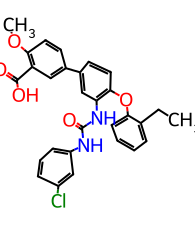 CCc1ccccc1Oc1ccc(-c2ccc(OC)c(C(=O)O)c2)cc1NC(=O)Nc1cccc(Cl)c1